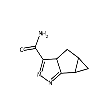 NC(=O)C1=NN=C2C1CC1CC21